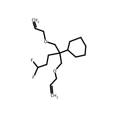 C=CCOCC(CCC(F)F)(COCC=C)C1CCCCC1